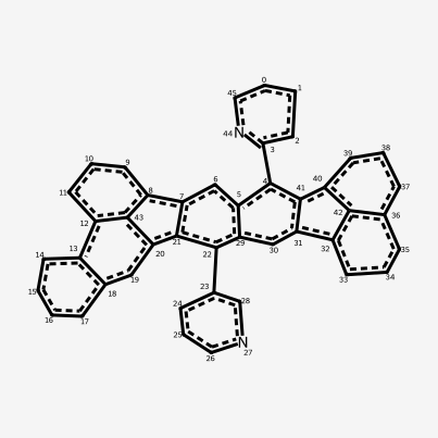 c1ccc(-c2c3cc4c5cccc6c7ccccc7cc(c4c(-c4cccnc4)c3cc3c4cccc7cccc(c23)c74)c65)nc1